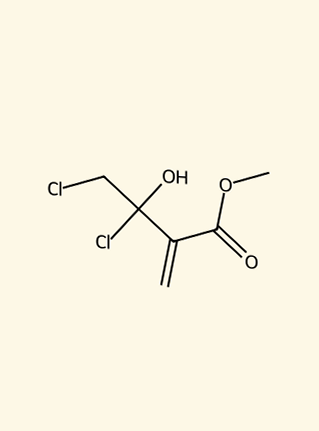 C=C(C(=O)OC)C(O)(Cl)CCl